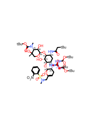 CN(C(=O)OC(C)(C)C)[C@@H]1[C@@H](O)[C@@H](O[C@@H]2[C@@H](O)[C@H](O[C@H]3OC(CN(C)S(=O)(=O)c4ccccc4[N+](=O)[O-])=CC[C@H]3N/C(=N/C(=O)OC(C)(C)C)NC(=O)OC(C)(C)C)[C@@H](NC(=O)OC(C)(C)C)C[C@H]2NC(=O)CC(C)(C)C)OC[C@]1(C)O